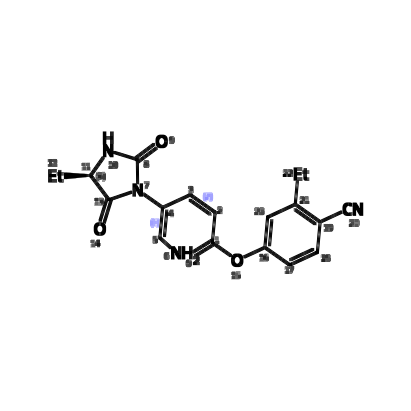 C=C(/C=C\C(=C/N)N1C(=O)N[C@H](CC)C1=O)Oc1ccc(C#N)c(CC)c1